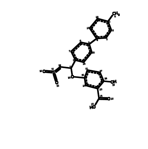 Cc1ccc(-c2ccc(C(C=S(=O)=O)Oc3ccc(O)c(C(=O)O)c3)cc2)cc1